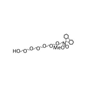 COC(=O)N(CCOCCOCCOCCOCCOCCOCCO)C1c2ccccc2-c2ccccc21